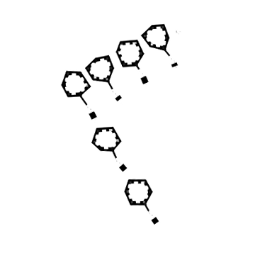 [C-]#[N+]c1ccccc1.[C-]#[N+]c1ccccc1.[C-]#[N+]c1ccccc1.[C-]#[N+]c1ccccc1.[C-]#[N+]c1ccccc1.[C-]#[N+]c1ccccc1.[Mo]